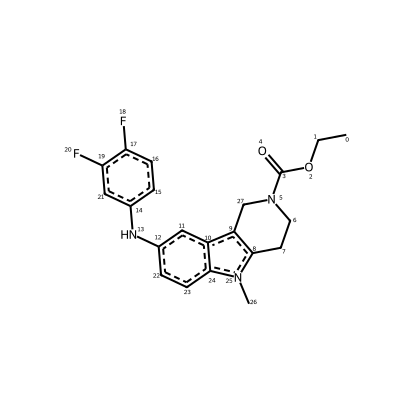 CCOC(=O)N1CCc2c(c3cc(Nc4ccc(F)c(F)c4)ccc3n2C)C1